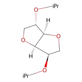 CC(C)O[C@H]1CO[C@H]2[C@@H]1OC[C@H]2OC(C)C